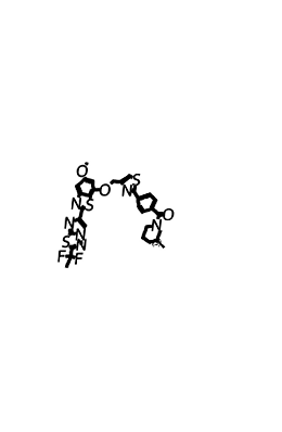 COc1cc(OCc2csc(-c3ccc(C(=O)N4CCC[C@H](C)C4)cc3)n2)c2sc(-c3cn4nc(C(C)(F)F)sc4n3)nc2c1